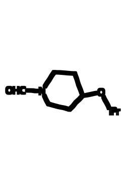 CC(C)OC1CCN(C=O)CC1